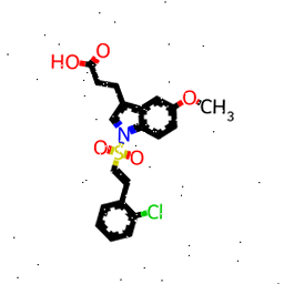 COc1ccc2c(c1)c(CCC(=O)O)cn2S(=O)(=O)/C=C/c1ccccc1Cl